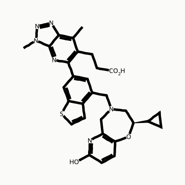 Cc1c(CCC(=O)O)c(-c2cc(CN3Cc4nc(O)ccc4O[C@H](C4CC4)C3)c3ccsc3c2)nc2c1nnn2C